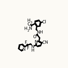 CC(N)c1ccc(Cl)cc1CNC(=O)Cc1nc(NCC(F)(F)c2ccccn2)ccc1C#N